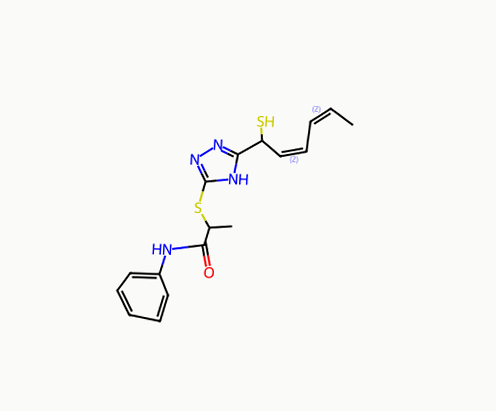 C/C=C\C=C/C(S)c1nnc(SC(C)C(=O)Nc2ccccc2)[nH]1